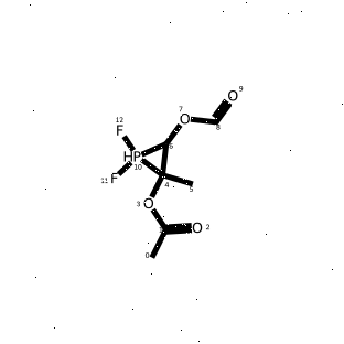 CC(=O)OC1(C)C(OC=O)[PH]1(F)F